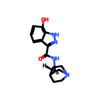 O=C(N[C@@H]1CN2CCC1CC2)c1n[nH]c2c(O)cccc12